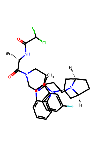 Cc1nc2ccccc2n1[C@H]1C[C@H]2CC[C@@H](C1)N2CCC1(c2cccc(F)c2)CCN(C(=O)[C@@H](NC(=O)C(Cl)Cl)C(C)C)CC1